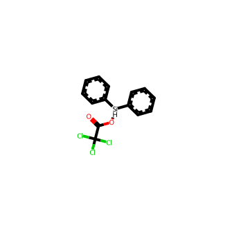 O=C(O[SiH](c1ccccc1)c1ccccc1)C(Cl)(Cl)Cl